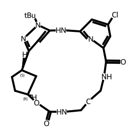 CC(C)(C)n1nc2cc1Nc1cc(Cl)cc(n1)C(=O)NCCCNC(=O)O[C@@H]1CC[C@H]2C1